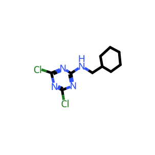 Clc1nc(Cl)nc(NCC2CCCCC2)n1